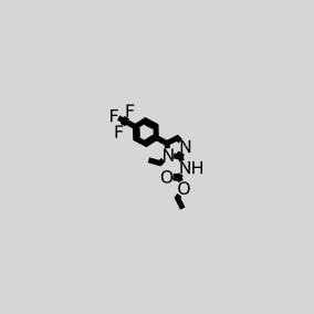 CCOC(=O)NC1=NCC(c2ccc(C(F)(F)F)cc2)N1CC